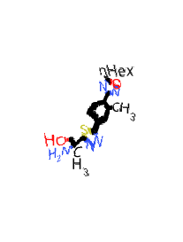 CCCCCCc1nc(-c2ccc(-c3nnc([C@@](C)(N)CO)s3)cc2C)no1